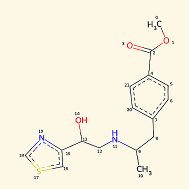 COC(=O)c1ccc(CC(C)NCC(O)c2cscn2)cc1